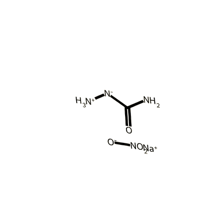 NC(=O)[N-][NH3+].O=[N+]([O-])[O-].[Na+]